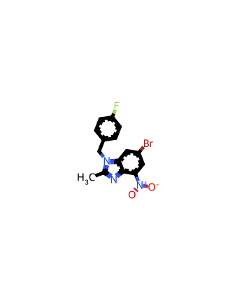 Cc1nc2c([N+](=O)[O-])cc(Br)cc2n1Cc1ccc(F)cc1